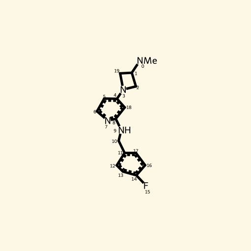 CNC1CN(c2ccnc(NCc3ccc(F)cc3)c2)C1